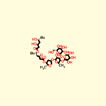 CC[C@H](C)[C@H](C[C@H](O)CC(=O)O[C@@H]1C[C@@H](O[C@@H]2O[C@@H](C)[C@H](OC3=C(O)[C@@H](O)[C@H](O)CO3)[C@@H](O[C@@H]3O[C@H](CO)[C@@H](O)[C@H](O)[C@H]3O)[C@H]2O)CO[C@@H]1C)OC(=O)C[C@@H](O)C[C@H](O)[C@@H](C)CC